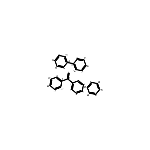 C=C(c1ccccc1)c1ccccc1.c1ccc(-c2ccccc2)cc1.c1ccccc1